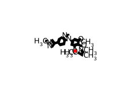 COc1cc(-n2cnc3cc(-c4cnn(C)c4)ccc32)cc(OC)c1C(=O)N1C(C)CC1(C)C